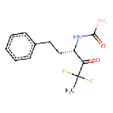 BC(=O)N[C@@H](CCc1ccccc1)C(=O)C(F)(F)C(F)(F)F